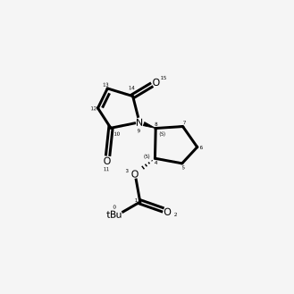 CC(C)(C)C(=O)O[C@H]1CCC[C@@H]1N1C(=O)C=CC1=O